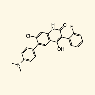 CN(C)c1ccc(-c2cc3c(O)c(-c4ccccc4F)c(=O)[nH]c3cc2Cl)cc1